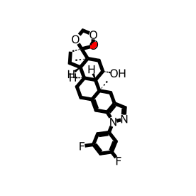 C[C@]12Cc3cnn(-c4cc(F)cc(F)c4)c3C=C1CC[C@@H]1[C@@H]2[C@@H](O)C[C@@]2(C)[C@H]1CC[C@@]21OCOC12COCO2